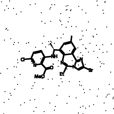 CCc1nc2c([C@@H](C)Nc3ccc(Cl)nc3C(=O)OC)cc(C)cc2c2nc(Br)cn12